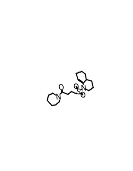 O=C(CCCS(=O)(=O)N1CCCC2CCCC=C21)N1CCCCCC1